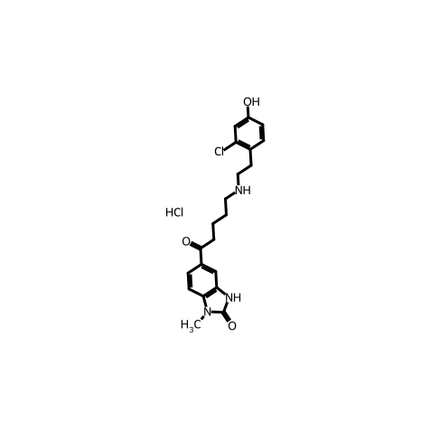 Cl.Cn1c(=O)[nH]c2cc(C(=O)CCCCNCCc3ccc(O)cc3Cl)ccc21